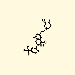 Cc1cc(CCN2CCN(C)C(=O)C2)cc2c(=O)[nH]c(-c3cc(C(F)(F)F)ccn3)nc12